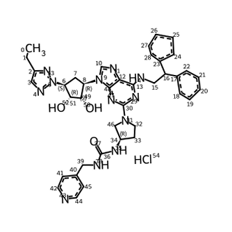 CCc1cnn([C@H]2C[C@@H](n3cnc4c(NCC(c5ccccc5)c5ccccc5)nc(N5CC[C@@H](NC(=O)NCc6ccncc6)C5)nc43)[C@H](O)[C@@H]2O)n1.Cl